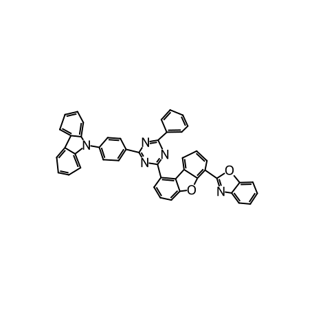 c1ccc(-c2nc(-c3ccc(-n4c5ccccc5c5ccccc54)cc3)nc(-c3cccc4oc5c(-c6nc7ccccc7o6)cccc5c34)n2)cc1